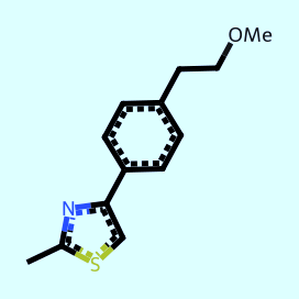 COCCc1ccc(-c2csc(C)n2)cc1